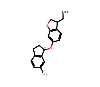 O=C(O)CC1COc2cc(O[C@@H]3CCc4ccc(C(F)(F)F)cc43)ccc21